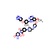 COc1cc2ncnc(Nc3ccc(Oc4ccn5ncnc5c4)c(C)c3)c2cc1OC1CCN(CC2CCN(c3ccc4c(c3)C(=O)N(C3CCC(=O)NC3=O)C4=O)CC2)CC1